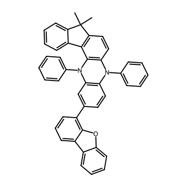 CC1(C)c2ccccc2-c2c1ccc1c2N(c2ccccc2)c2cc(-c3cccc4c3oc3ccccc34)ccc2N1c1ccccc1